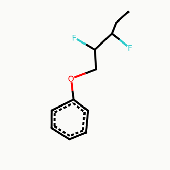 CCC(F)C(F)COc1ccccc1